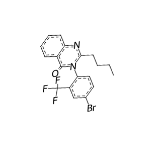 CCCCc1nc2ccccc2c(=O)n1-c1ccc(Br)cc1C(F)(F)F